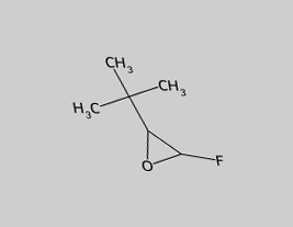 CC(C)(C)C1OC1F